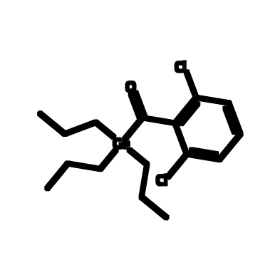 CC[CH2][Ge]([CH2]CC)([CH2]CC)[C](=O)c1c(Cl)cccc1Cl